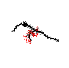 CCCCCCCC/C=C\CCCCCCC(C(=O)CCCCCCCCCCCCCCC)C(=O)OP(=O)(O)OCC(O)CO